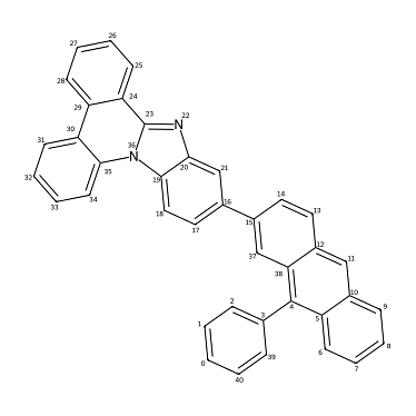 c1ccc(-c2c3ccccc3cc3ccc(-c4ccc5c(c4)nc4c6ccccc6c6ccccc6n54)cc23)cc1